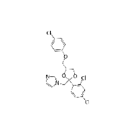 Clc1ccc(OCC2COC(Cn3ccnc3)(c3ccc(Cl)cc3Cl)O2)cc1